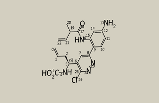 C=CC[C@H](NC(=O)O)c1cc(-c2ccc(N)cc2NC(=O)C(C)C=C)nnc1Cl